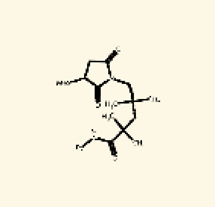 CCNC(=O)C(C)(C)CC(C)(C)CN1C(=O)CC(SC)C1=O